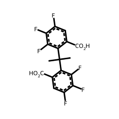 CC(C)(c1c(C(=O)O)cc(F)c(F)c1F)c1c(C(=O)O)cc(F)c(F)c1F